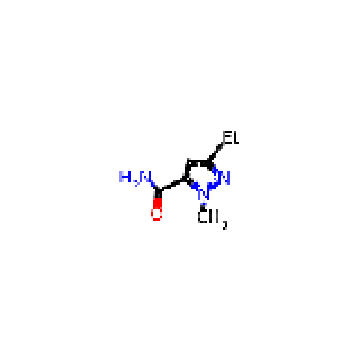 CCc1cc(C(N)=O)n(C)n1